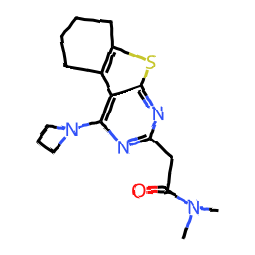 CN(C)C(=O)Cc1nc(N2CCC2)c2c3c(sc2n1)CCCC3